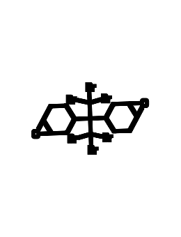 BrC(Br)(Br)C(C1CCC2OC2C1)(C1CCC2OC2C1)C(Br)(Br)Br